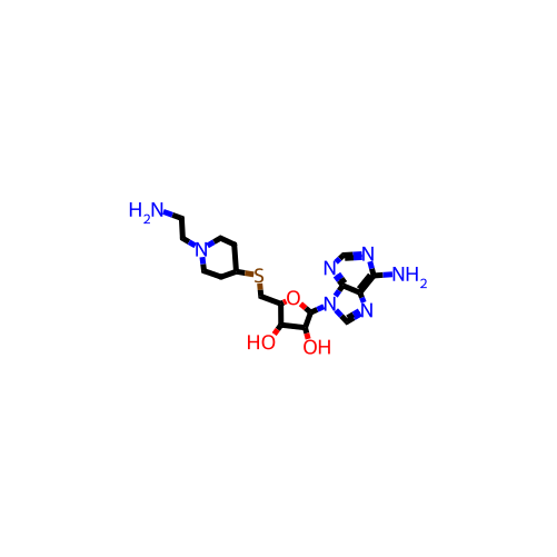 NCCN1CCC(SCC2OC(n3cnc4c(N)ncnc43)C(O)C2O)CC1